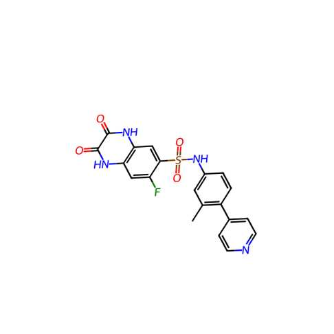 Cc1cc(NS(=O)(=O)c2cc3[nH]c(=O)c(=O)[nH]c3cc2F)ccc1-c1ccncc1